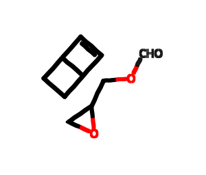 C1=CC2CCC12.O=COCC1CO1